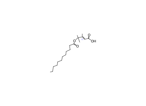 CCCCCCCCCCCC(=O)OC(C)(C)/C(C)=C/C(=O)O